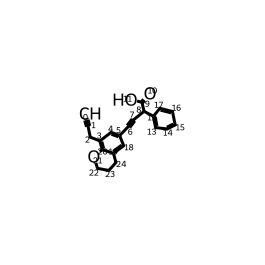 C#CCc1cc(C#CC(C(=O)O)c2ccccc2)cc2c1OCCC2